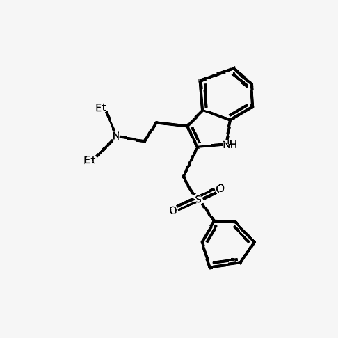 CCN(CC)CCc1c(CS(=O)(=O)c2ccccc2)[nH]c2ccccc12